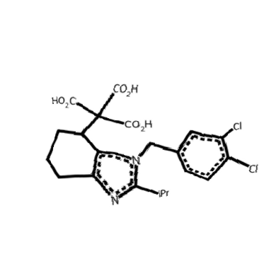 CC(C)c1nc2c(n1Cc1ccc(Cl)c(Cl)c1)C(C(C(=O)O)(C(=O)O)C(=O)O)CCC2